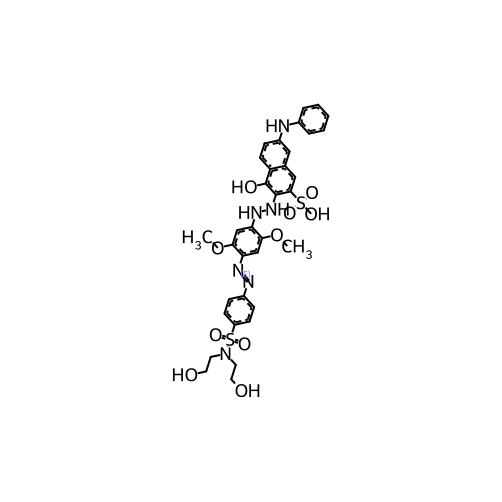 COc1cc(NNc2c(S(=O)(=O)O)cc3cc(Nc4ccccc4)ccc3c2O)c(OC)cc1/N=N/c1ccc(S(=O)(=O)N(CCO)CCO)cc1